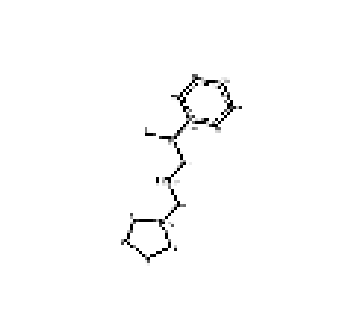 CC(CNCN1CCCC1)c1ccccc1